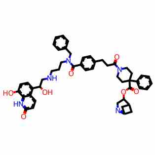 O=C(CCc1ccc(C(=O)N(CCCNCC(O)c2ccc(O)c3[nH]c(=O)ccc23)Cc2ccccc2)cc1)N1CCC(C(=O)OC2CN=C3CC2C3)(c2ccccc2)CC1